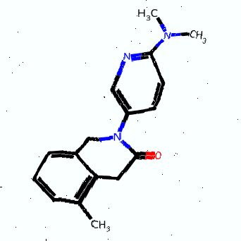 Cc1cccc2c1CC(=O)N(c1ccc(N(C)C)nc1)C2